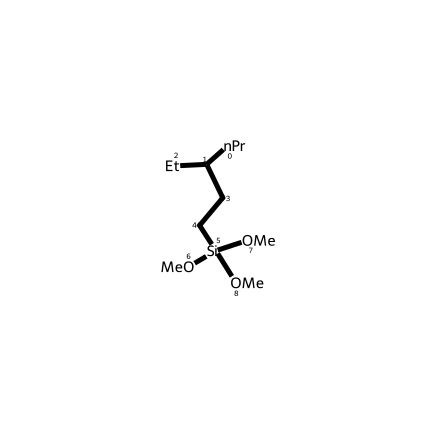 CCCC(CC)CC[Si](OC)(OC)OC